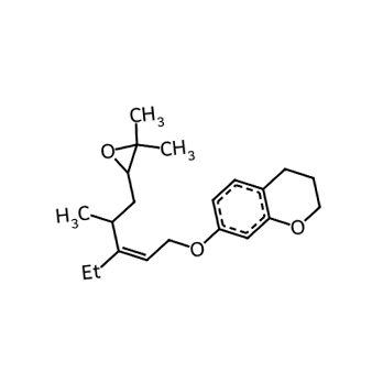 CCC(=CCOc1ccc2c(c1)OCCC2)C(C)CC1OC1(C)C